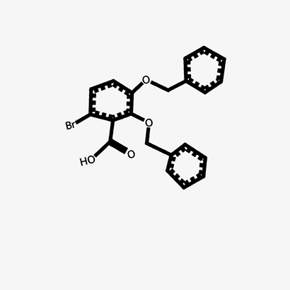 O=C(O)c1c(Br)ccc(OCc2ccccc2)c1OCc1ccccc1